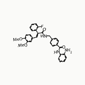 COc1ccc(/C=C(/C(=O)NCc2ccc(C(=O)Nc3ccccc3N)cc2)c2ccccc2F)cc1OC